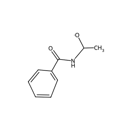 CC([O])NC(=O)c1ccccc1